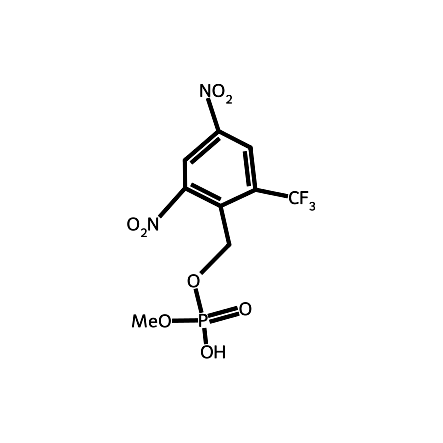 COP(=O)(O)OCc1c([N+](=O)[O-])cc([N+](=O)[O-])cc1C(F)(F)F